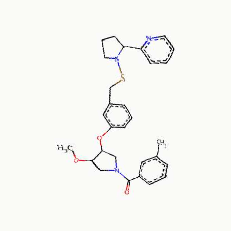 COC1CN(C(=O)c2cccc(C)c2)CC1Oc1cccc(CSN2CCCC2c2ccccn2)c1